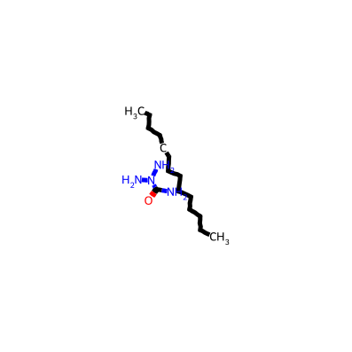 CCCCCCCCCCCCCC.NC(=O)N(N)N